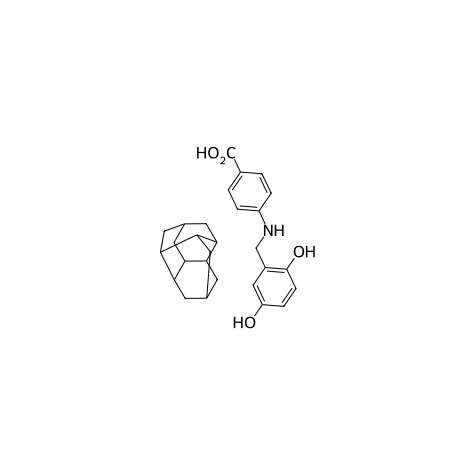 C1C2CC3C4CC5CC(C14)C(C2)C3C5.O=C(O)c1ccc(NCc2cc(O)ccc2O)cc1